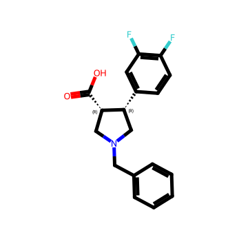 O=C(O)[C@H]1CN(Cc2ccccc2)C[C@H]1c1ccc(F)c(F)c1